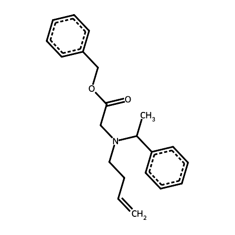 C=CCCN(CC(=O)OCc1ccccc1)C(C)c1ccccc1